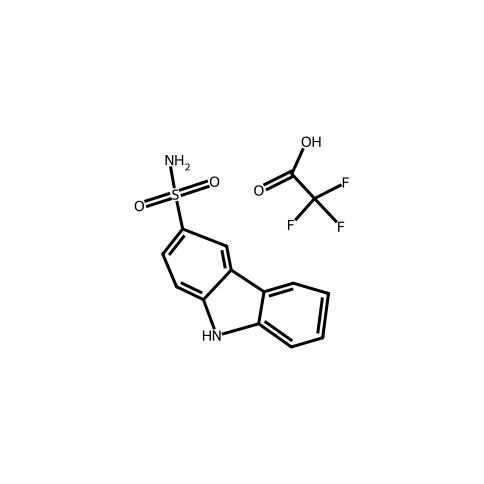 NS(=O)(=O)c1ccc2[nH]c3ccccc3c2c1.O=C(O)C(F)(F)F